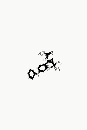 CC(C)(C)C1CC1(OC(N)=O)c1ccc(Oc2ccccc2)cc1